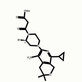 COC(=O)CC(=O)N1CCN(c2nc(C3CC3)c3c(c2N)CC(C)(C)OC3)C[C@H]1C(C)C